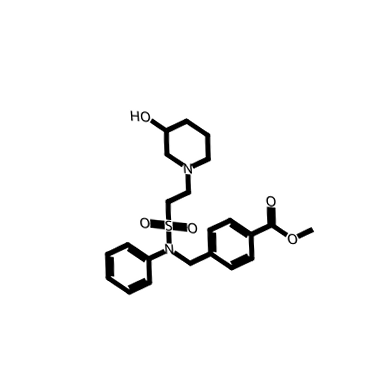 COC(=O)c1ccc(CN(c2ccccc2)S(=O)(=O)CCN2CCCC(O)C2)cc1